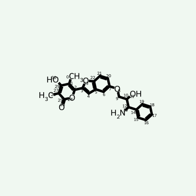 Cc1c(-c2cc3cc(OCC(O)C(N)c4ccccc4)ccc3o2)oc(=O)c(C)c1O